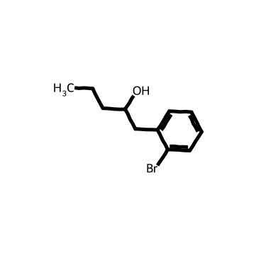 CCCC(O)Cc1ccccc1Br